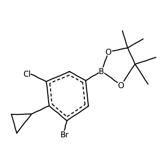 CC1(C)OB(c2cc(Cl)c(C3CC3)c(Br)c2)OC1(C)C